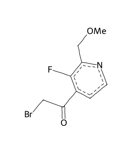 COCc1nccc(C(=O)CBr)c1F